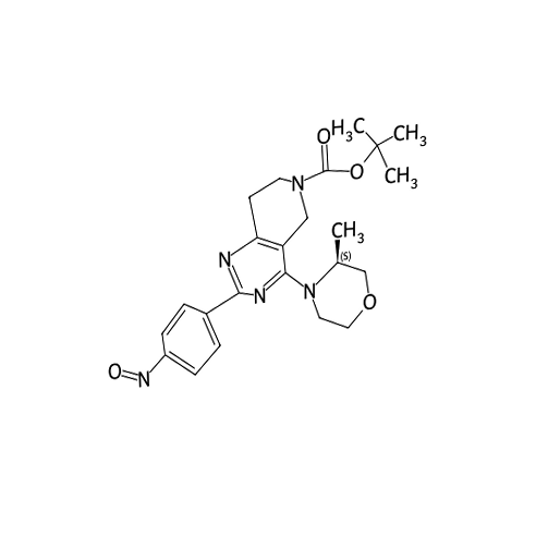 C[C@H]1COCCN1c1nc(-c2ccc(N=O)cc2)nc2c1CN(C(=O)OC(C)(C)C)CC2